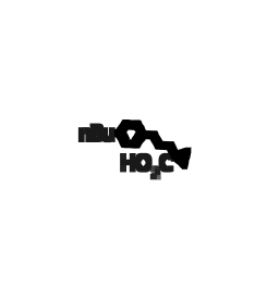 CCCCc1ccc(CCCC2(C(=O)O)CC2)cc1